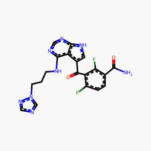 NC(=O)c1ccc(F)c(C(=O)c2c[nH]c3ncnc(NCCCn4cncn4)c23)c1F